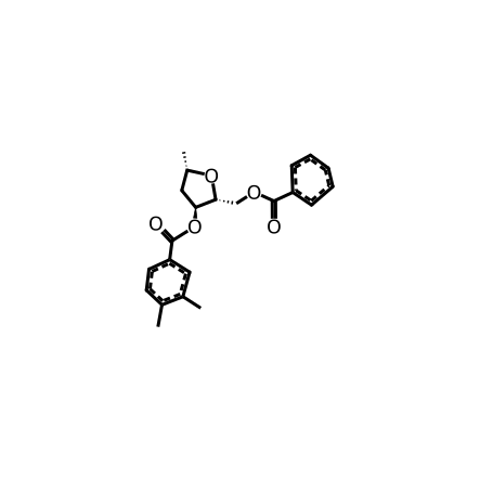 Cc1ccc(C(=O)O[C@H]2C[C@H](C)O[C@@H]2COC(=O)c2ccccc2)cc1C